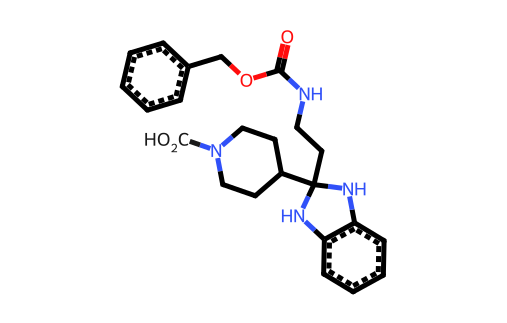 O=C(NCCC1(C2CCN(C(=O)O)CC2)Nc2ccccc2N1)OCc1ccccc1